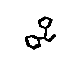 C=CC(c1ccccc1)N1C=CC=CC1